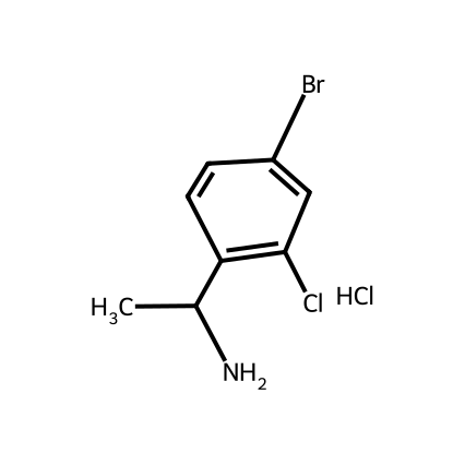 CC(N)c1ccc(Br)cc1Cl.Cl